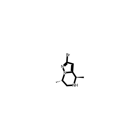 C[C@H]1NC[C@H](C)n2nc(Br)cc21